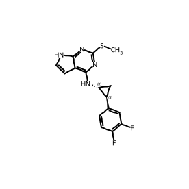 CSc1nc(N[C@@H]2C[C@H]2c2ccc(F)c(F)c2)c2cc[nH]c2n1